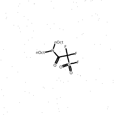 CCCCCCCCN(CCCCCCCC)C(=O)C(F)(F)S(=O)(=O)F